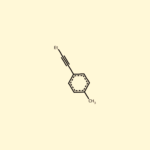 CCC#Cc1ccc(C)cc1